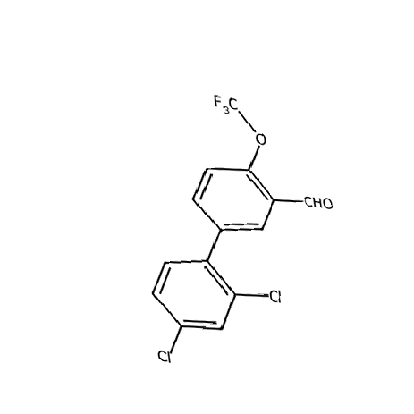 O=Cc1cc(-c2ccc(Cl)cc2Cl)ccc1OC(F)(F)F